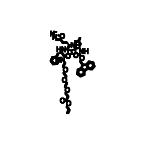 C=CCOC(=O)CCOCCOCCOCCNC(=O)[C@H](Cc1ccccc1)NC(=O)[C@H](CCC(=O)C=[N+]=[N-])NC(=O)[C@H](CC(C)C)NC(=O)OCC1c2ccccc2-c2ccccc21